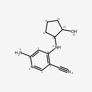 N#Cc1cnc(N)cc1NC1CCCC1O